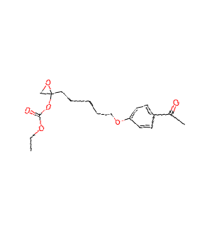 CCOC(=O)OC1(CCCCCOc2ccc(C(C)=O)cc2)CO1